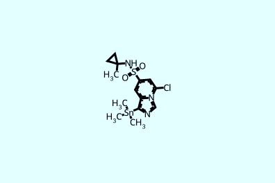 CC1(NS(=O)(=O)c2cc(Cl)n3cn[c]([Sn]([CH3])([CH3])[CH3])c3c2)CC1